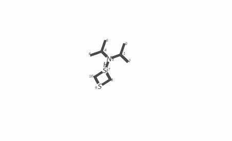 CC(C)N(C(C)C)[SiH]1CSC1